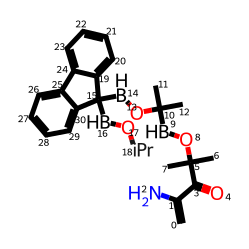 C=C(N)C(=O)C(C)(C)OBC(C)(C)OBC1(BOC(C)C)c2ccccc2-c2ccccc21